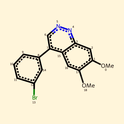 COc1cc2nncc(-c3cccc(Br)c3)c2cc1OC